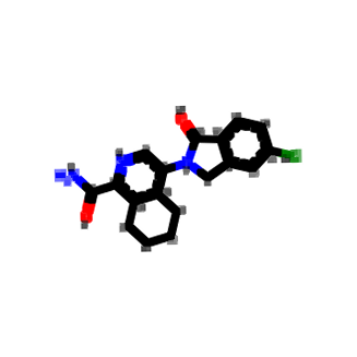 NC(=O)c1ncc(N2Cc3cc(Cl)ccc3C2=O)c2c1[CH]CCC2